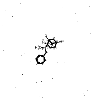 CN(Cc1ccccc1)[C@H]1CC[C@H]2C[C@@H]1C2(C)C